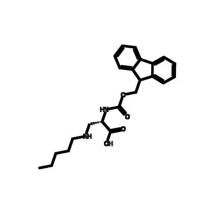 CCCCCNC[C@H](NC(=O)OCC1c2ccccc2-c2ccccc21)C(=O)O